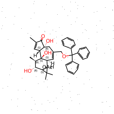 CC(=O)O[C@@]12[C@H](O)[C@@H](C)[C@@]3(O)[C@@H](C=C(COC(c4ccccc4)(c4ccccc4)c4ccccc4)C[C@]4(O)C(=O)C(C)=C[C@@H]34)[C@H]1C2(C)C